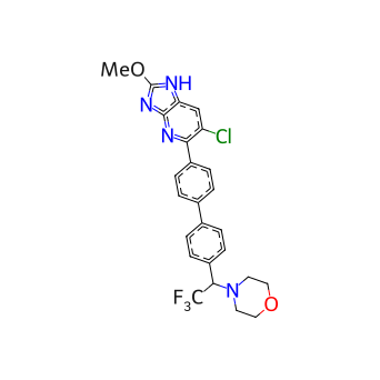 COc1nc2nc(-c3ccc(-c4ccc(C(N5CCOCC5)C(F)(F)F)cc4)cc3)c(Cl)cc2[nH]1